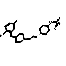 CS(=O)(=O)N[C@H]1CC[C@H](CCCN2CCC(Cc3cc(F)ccc3Br)CC2)CC1